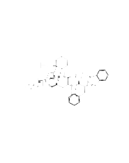 COC(=O)CCCC1(O)CCCCC1NC(=O)C(Cc1c[nH]cn1)NC(=O)C(Cc1ccccc1)N1Cc2ccccc2C1=O